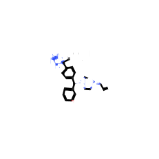 C=CCN1CCN([C@H](c2ccc(C3(CC(=O)O)N=NN=N3)cc2)c2cccc(O)c2)CC1